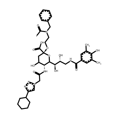 Cc1cc(C(=O)NC[C@@H](O)[C@@H](O)C2O[C@@](OCCN(Cc3ccccc3)C(=O)I)(C(=O)O)CC(O)[C@H]2NC(=O)Cn2cc(C3CCCCC3)nn2)cc(C)c1O